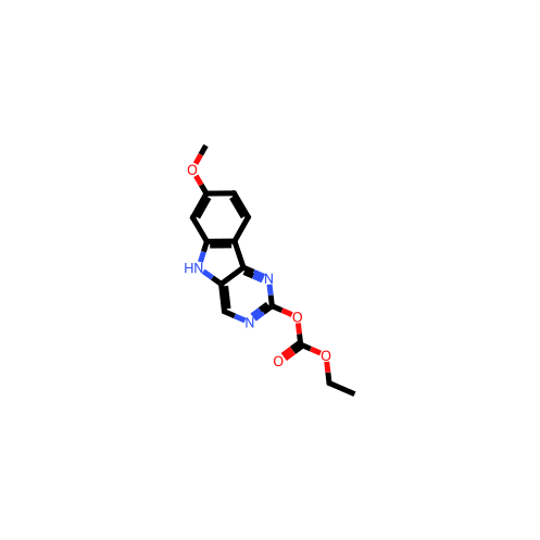 CCOC(=O)Oc1ncc2[nH]c3cc(OC)ccc3c2n1